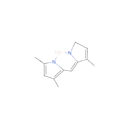 CC1=CCN2Bn3c(C)cc(C)c3C=C12